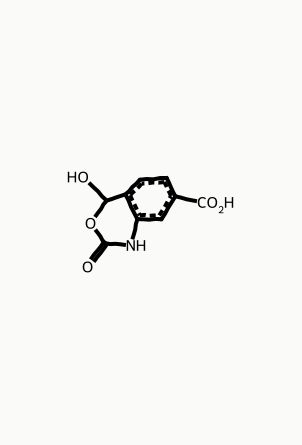 O=C1Nc2cc(C(=O)O)ccc2C(O)O1